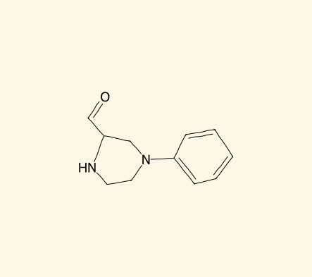 O=CC1CN(c2ccccc2)CCN1